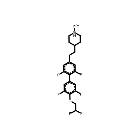 CCC[SiH]1CCC(CCc2cc(F)c(-c3cc(F)c(OCC(F)F)c(F)c3)c(F)c2)CC1